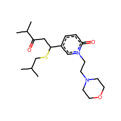 CC(C)CSC(CC(=O)C(C)C)c1ccc(=O)n(CCN2CCOCC2)c1